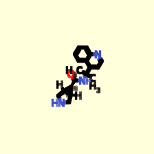 CC(C)(NC(=O)[C@H]1[C@@H]2CNC[C@@H]21)c1ccnc2ccccc12